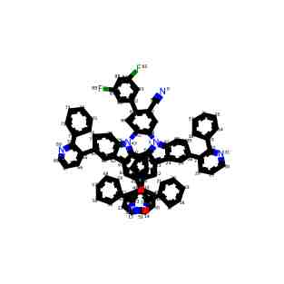 N#Cc1cc(-n2c3ccc(-c4cccnc4-c4ccccc4)cc3c3cc(-c4cccnc4-c4ccccc4)ccc32)c(-n2c3ccc(-c4cccnc4-c4ccccc4)cc3c3cc(-c4cccnc4-c4ccccc4)ccc32)cc1-c1cc(F)cc(F)c1